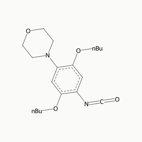 CCCCOc1cc(N2CCOCC2)c(OCCCC)cc1N=C=O